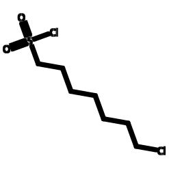 O=S(=O)(Cl)CCCCCCCCl